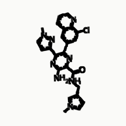 Cn1ccc(CNC(=O)c2nc(-c3cc(Cl)c4ncccc4c3)c(-c3ccn(C)n3)nc2N)c1